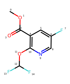 COC(=O)c1cc(F)cnc1OC(F)F